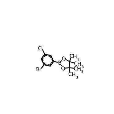 CC1(C)OB(c2cc(Cl)cc(Br)c2)OC1(C)C